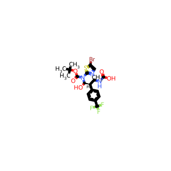 C[C@H](NC(=O)O)[C@@H](c1ccc(C(F)(F)F)cc1)C(O)N(C(=O)OC(C)(C)C)c1ncc(Br)s1